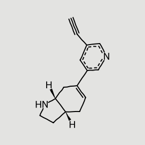 C#Cc1cncc(C2=CC[C@@H]3CCN[C@@H]3C2)c1